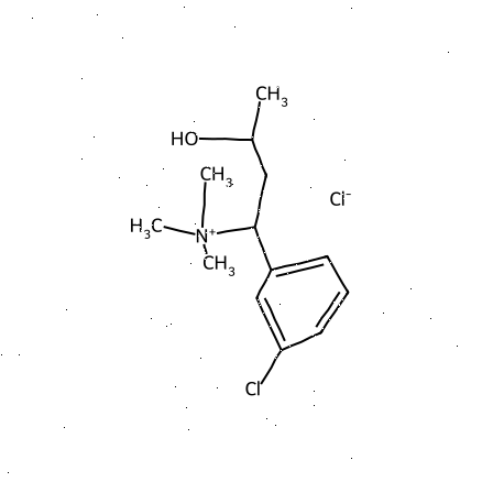 CC(O)CC(c1cccc(Cl)c1)[N+](C)(C)C.[Cl-]